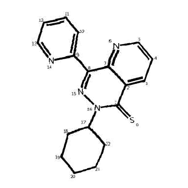 S=c1c2cccnc2c(-c2ccccn2)nn1C1CCCCC1